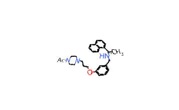 CC(=O)N1CCN(CCCOc2cccc(CN[C@H](C)c3cccc4ccccc34)c2)CC1